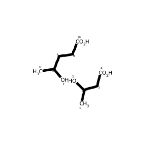 CC(O)CC(=O)O.CC(O)CCC(=O)O